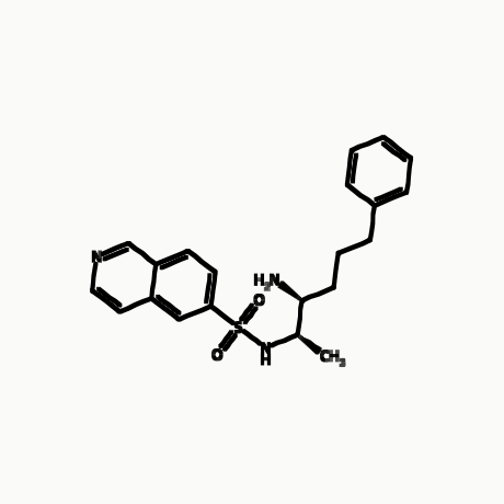 C[C@@H](NS(=O)(=O)c1ccc2cnccc2c1)[C@@H](N)CCCc1ccccc1